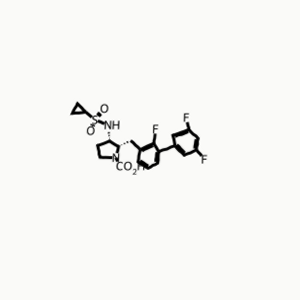 O=C(O)N1CC[C@H](NS(=O)(=O)C2CC2)[C@@H]1Cc1cccc(-c2cc(F)cc(F)c2)c1F